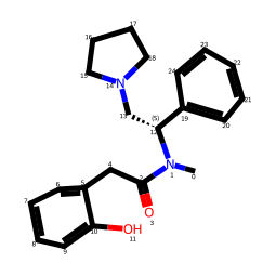 CN(C(=O)Cc1ccccc1O)[C@H](CN1CCCC1)c1ccccc1